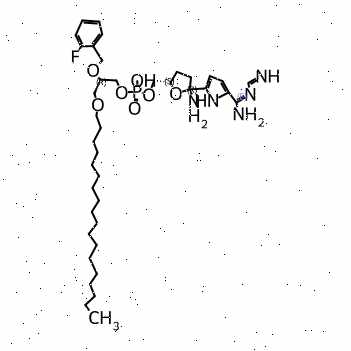 CCCCCCCCCCCCCCCCCCOC[C@H](COP(=O)(O)OC[C@@H]1CC[C@](N)(c2ccc(/C(N)=N\C=N)[nH]2)O1)OCc1ccccc1F